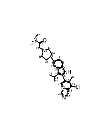 Cc1c(-c2[nH]c3ccc(C4CCN(CC(=O)N(C)C)CC4)cc3c2C(C)C)cn2cnnc2c1Cl